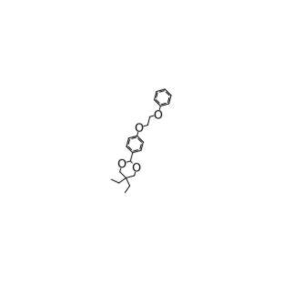 CCC1(CC)COC(c2ccc(OCCOc3ccccc3)cc2)OC1